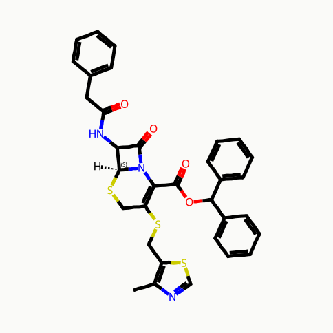 Cc1ncsc1CSC1=C(C(=O)OC(c2ccccc2)c2ccccc2)N2C(=O)C(NC(=O)Cc3ccccc3)[C@@H]2SC1